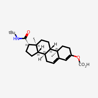 CC(C)(C)NC(=O)[C@H]1CC[C@H]2[C@@H]3CC=C4C=C(OC(=O)O)CC[C@]4(C)[C@H]3CC[C@]12C